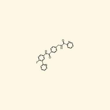 O=C(Nc1ccc(I)c(-c2ccccn2)c1)c1ccc(CNC(=O)c2ccccn2)cc1